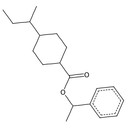 CCC(C)C1CCC(C(=O)OC(C)c2ccccc2)CC1